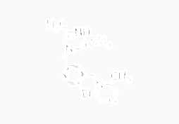 CC1COCCN1Cc1cc(CN2C[C@@H](C)N[C@@H](C)C2)ccc1Br